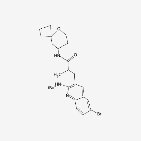 CC(Cc1cc2cc(Br)ccc2nc1NC(C)(C)C)C(=O)NC1CCOC2(CCC2)C1